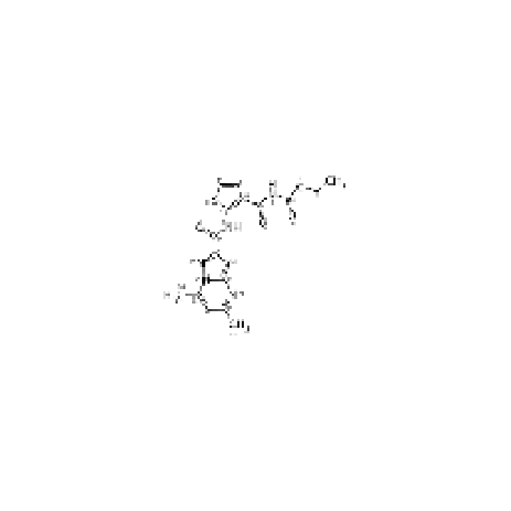 CCOC(=O)NC(=O)c1ccsc1NC(=O)c1cc2nc(C)cc(C)n2n1